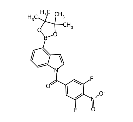 CC1(C)OB(c2cccc3c2ccn3C(=O)c2cc(F)c([N+](=O)[O-])c(F)c2)OC1(C)C